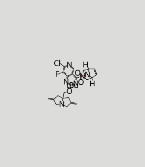 C=C1CN2CC(=C)CC2(COc2nc(N3C[C@H]4C=C[C@@H](C3)N4C(=O)OC(C)(C)C)c3cnc(Cl)c(F)c3n2)C1